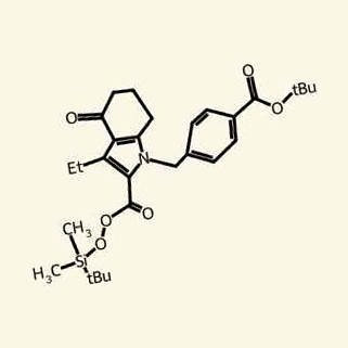 CCc1c2c(n(Cc3ccc(C(=O)OC(C)(C)C)cc3)c1C(=O)OO[Si](C)(C)C(C)(C)C)CCCC2=O